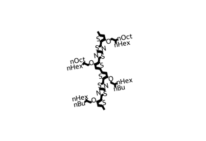 CCCCCCCCC(CCCCCC)COc1cc(C)sc1-c1nc2sc(-c3sc(-c4cc(OCC(CCCC)CCCCCC)c(-c5nc6sc(-c7sc(C)cc7OCC(CCCC)CCCCCC)nc6s5)s4)cc3OCC(CCCCCC)CCCCCCCC)nc2s1